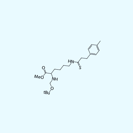 COC(=O)C(CCCCNC(=S)CCc1ccc(C)cc1)NCOC(C)(C)C